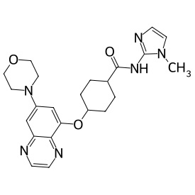 Cn1ccnc1NC(=O)C1CCC(Oc2cc(N3CCOCC3)cc3nccnc23)CC1